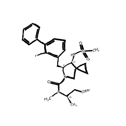 COC[C@@H](C)N(C)C(=O)N1CC2(CC2)[C@H](NS(C)(=O)=O)[C@@H]1Cc1cccc(-c2ccccc2)c1F